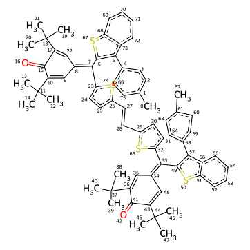 Cc1ccc(-c2c(C(=C3C=C(C(C)(C)C)C(=O)C(C(C)(C)C)=C3)c3ccc(C=Cc4ccc(C(=C5C=C(C(C)(C)C)C(=O)C(C(C)(C)C)=C5)c5sc6ccccc6c5-c5ccc(C)cc5)s4)s3)sc3ccccc23)cc1